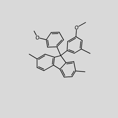 COc1cccc(C2(c3cc(C)cc(OC)c3)c3cc(C)ccc3-c3ccc(C)cc32)c1